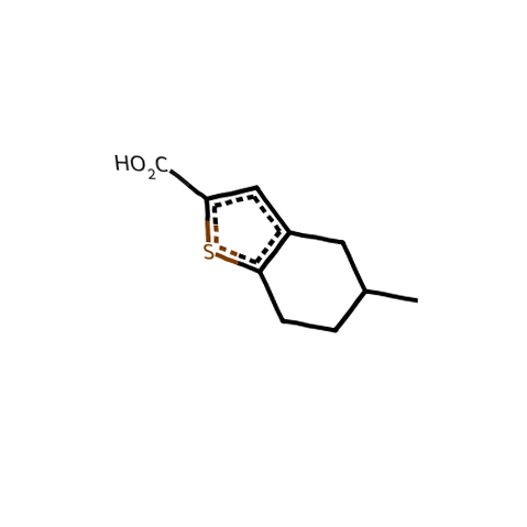 CC1CCc2sc(C(=O)O)cc2C1